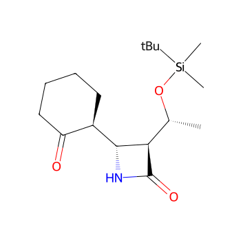 C[C@@H](O[Si](C)(C)C(C)(C)C)[C@H]1C(=O)N[C@@H]1[C@@H]1CCCCC1=O